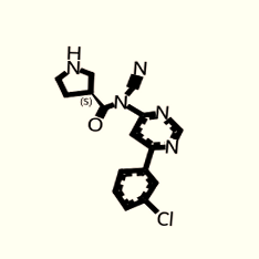 N#CN(C(=O)[C@H]1CCNC1)c1cc(-c2cccc(Cl)c2)ncn1